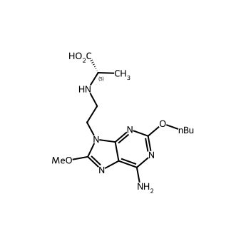 CCCCOc1nc(N)c2nc(OC)n(CCN[C@@H](C)C(=O)O)c2n1